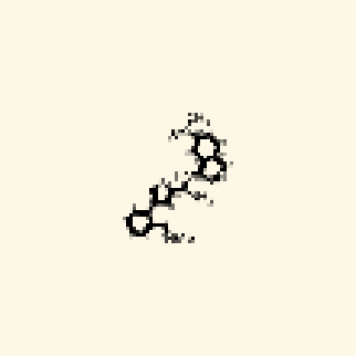 CNCc1ccccc1-c1csc([C@@H](N)Nc2nncc3ccc(N(C)C)cc23)c1